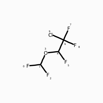 FC(F)OC(F)C(F)(F)Cl